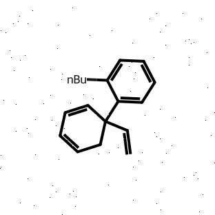 C=CC1(c2ccccc2CCCC)C=CC=CC1